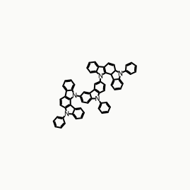 C1=CC2C(c3ccccc3N2c2ccccc2)c2c1c1ccccc1n2-c1ccc2c(c1)c1cc(-n3c4ccccc4c4ccc5c(c6ccccc6n5-c5ccccc5)c43)ccc1n2-c1ccccc1